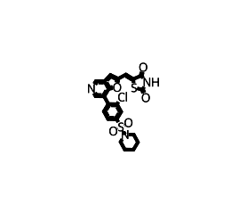 O=C1NC(=O)C(=Cc2cc3cncc(-c4ccc(S(=O)(=O)N5CCCCC5)cc4Cl)c3o2)S1